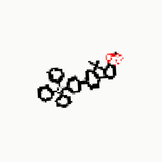 CC1(C)c2cc(-c3ccc([Si](c4ccccc4)(c4ccccc4)c4ccccc4)cc3)ccc2-c2ccc3c(c21)OCO3